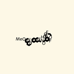 COc1cnc2c(c1)CCCN2c1ccc2cnc(CNC(=O)c3cc(F)c4c(c3)S(=O)(=O)[C@@H](F)CCO4)cc2c1